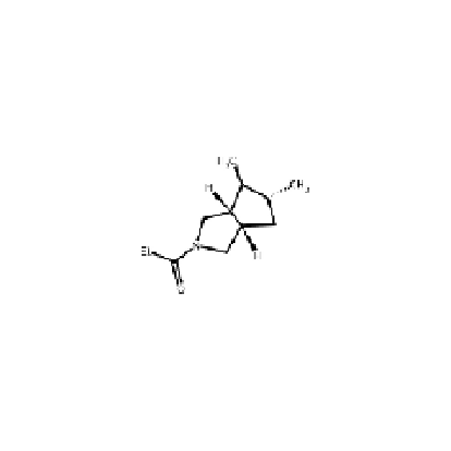 CCC(=O)N1C[C@H]2C[C@@H](C)[C@H](C)[C@H]2C1